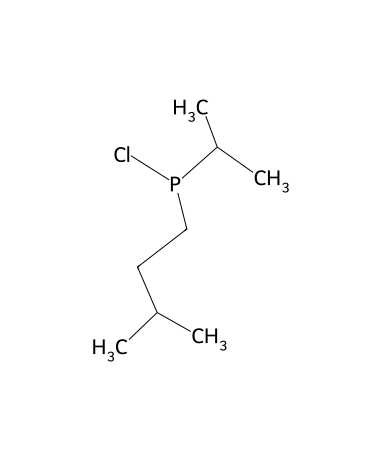 CC(C)CCP(Cl)C(C)C